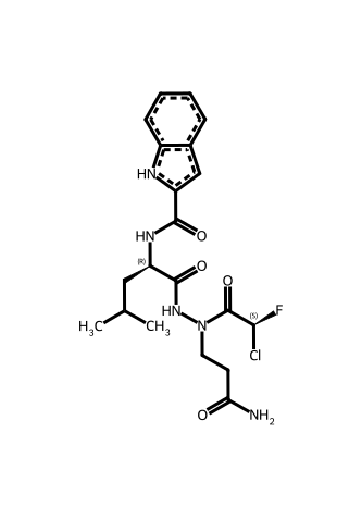 CC(C)C[C@@H](NC(=O)c1cc2ccccc2[nH]1)C(=O)NN(CCC(N)=O)C(=O)[C@@H](F)Cl